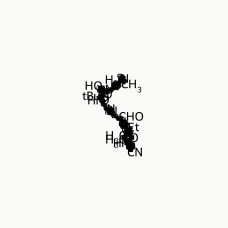 CCc1cc2c(cc1N1CCN(C(C=O)CCCc3cn(CCCC(=O)NC(C(=O)N4C[C@H](O)C[C@H]4C(=O)NCc4ccc(-c5scnc5C)cc4)C(C)(C)C)nn3)CC1)C(C)(C)c1[nH]c3cc(C#N)ccc3c1C2=O